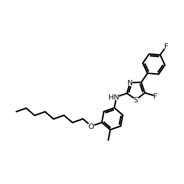 CCCCCCCCOc1cc(Nc2nc(-c3ccc(F)cc3)c(F)s2)ccc1C